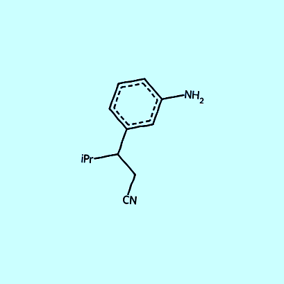 CC(C)C(CC#N)c1cccc(N)c1